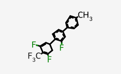 Cc1ccc(-c2ccc(C3C=C(F)C(C(F)(F)F)=C(F)C3)c(F)c2)cc1